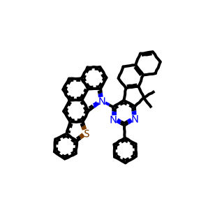 CC1(C)C2=C(CCC3=C2CCC=C3)c2c(-n3c4cccc5ccc6cc7c8ccccc8sc7c3c6c54)nc(-c3ccccc3)nc21